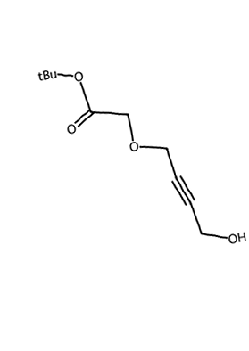 CC(C)(C)OC(=O)COCC#CCO